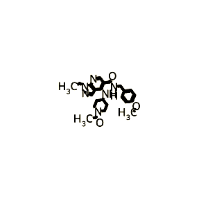 CCn1ncc2c(NC3CCN(C(C)=O)CC3)c(C(=O)NCc3ccc(OC)cc3)cnc21